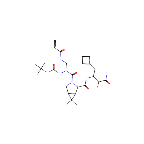 C=CC(=O)NC[C@H](NC(=O)NC(C)(C)C)C(=O)N1CC2[C@@H](C1C(=O)NC(CC1CCC1)C(O)C(N)=O)C2(C)C